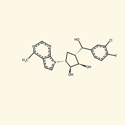 Cc1ncnc2c1ccn2[C@@H]1C[C@H](C(O)c2ccc(F)c(Cl)c2)[C@@H](O)[C@H]1O